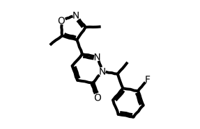 Cc1noc(C)c1-c1ccc(=O)n(C(C)c2ccccc2F)n1